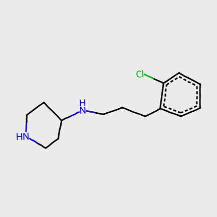 Clc1ccccc1CCCNC1CCNCC1